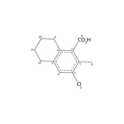 Cc1c(Cl)cc2c(c1C(=O)O)CCCC2